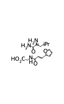 CC(C)C[C@H](N)C(N)=O.O=C(O)CNC(=O)C=Cc1ccco1